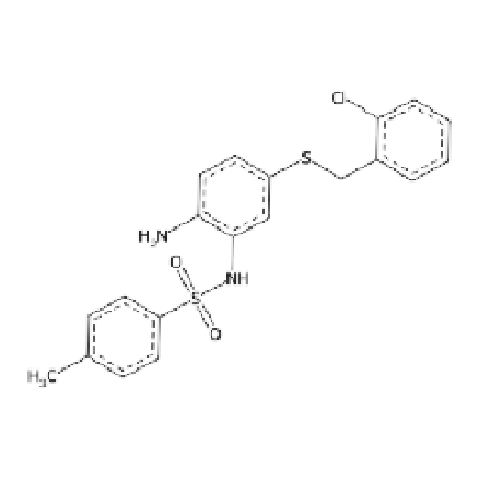 Cc1ccc(S(=O)(=O)Nc2cc(SCc3ccccc3Cl)ccc2N)cc1